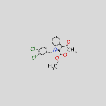 CCOC(=O)c1c(C(C)=O)c2ccccc2n1Cc1ccc(Cl)c(Cl)c1